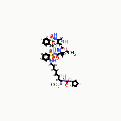 C=C[C@@H]1C[C@]1(NC(=O)[C@@H]1C[C@@H](NS(=O)(=O)c2ccccc2[N+](=O)[O-])CN1)C(=O)NS(=O)(=O)c1ccccc1NCCCCCCC[C@H](NC(=O)OC1CCCC1)C(=O)O